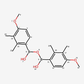 COc1ccc(B(O)OB(O)c2ccc(OC)c(C)c2C)c(C)c1C